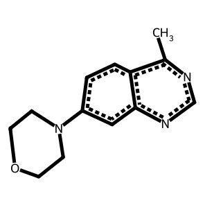 Cc1ncnc2cc(N3CCOCC3)ccc12